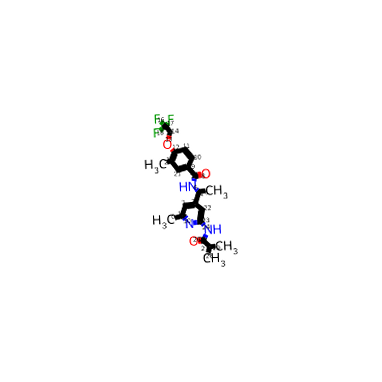 Cc1cc(C(C)NC(=O)c2ccc(OCC(F)(F)F)c(C)c2)cc(NC(=O)C(C)C)n1